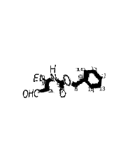 CC[C@H](CC=O)NC(=O)OCc1ccccc1